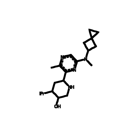 Cc1ncc(N(C)C2CC3(CC3)C2)nc1C1CC(C(C)C)C(O)CN1